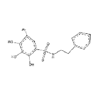 CC(C)c1cc(S(=O)(=O)NCCc2ccccc2)c(O)c(O)c1O